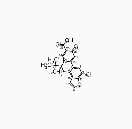 CC(C)(C)[C@@H]1Cc2c(cc(Cl)c3occc23)-c2cc(=O)c(C(=O)O)cn21